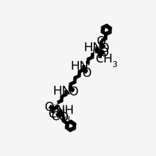 CC(=O)[C@H](CCCCNC(=O)CCCCCC(=O)NCCCC[C@H](NC(=O)OCc1ccccc1)C(C)=O)NC(=O)OCc1ccccc1